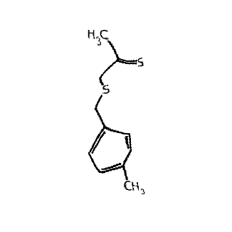 CC(=S)CSCc1ccc(C)cc1